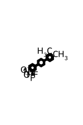 Cc1ccc(C2CCC(c3ccc([N+](=O)[O-])c(C(F)(F)F)c3)CC2)cc1C